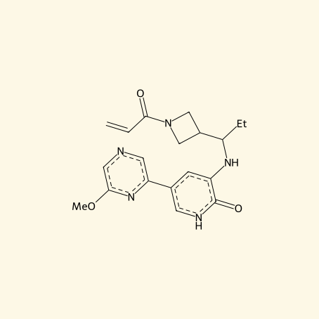 C=CC(=O)N1CC(C(CC)Nc2cc(-c3cncc(OC)n3)c[nH]c2=O)C1